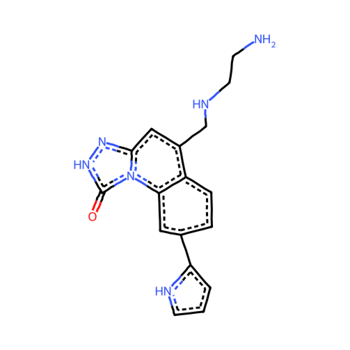 NCCNCc1cc2n[nH]c(=O)n2c2cc(-c3ccc[nH]3)ccc12